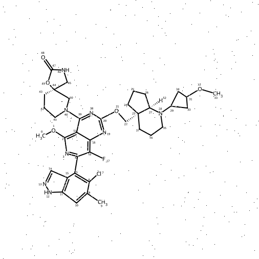 COc1nc(-c2c(Cl)c(C)cc3[nH]ncc23)c(F)c2nc(OC[C@]34CCC[C@H]3N(C3CC(OC)C3)CCC4)nc(N3CCC[C@]4(CNC(=O)O4)C3)c12